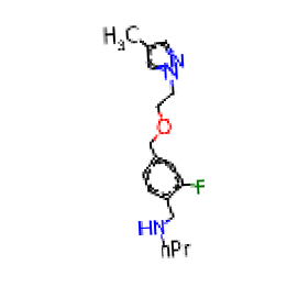 CCCNCc1ccc(COCCn2cc(C)cn2)cc1F